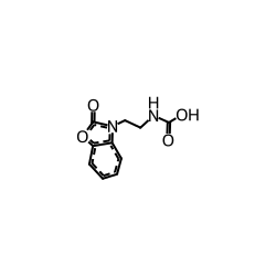 O=C(O)NCCn1c(=O)oc2ccccc21